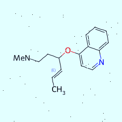 C/C=C/C(CCNC)Oc1ccnc2ccccc12